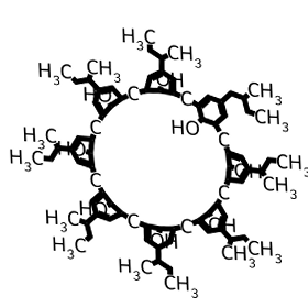 CCC(C)CC1=CC2CC3=CC(C(C)CC)=CC(CC4C=C(C(C)CC)C=C(CC5CC(C(C)CC)C=C(CC6C=C(C(C)CC)C=C(CC7=CC(C(C)CC)=CC(CC8=CC(C(C)CC)=CC(CC9C=C(C(C)CC)C=C(CC(=C1)C2O)C9O)C8O)C7O)C6O)C5O)C4O)C3O